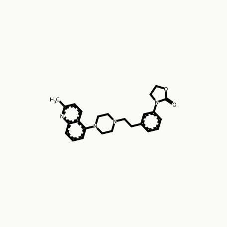 Cc1ccc2c(N3CCN(CCc4cccc(N5CCOC5=O)c4)CC3)cccc2n1